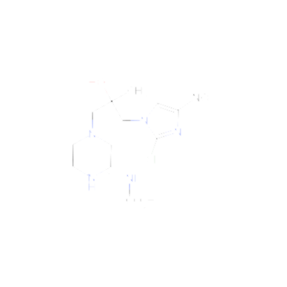 CC(O)(CN1CCN[C@@H](NC(=O)O)C1)Cn1cc([N+](=O)[O-])nc1Cl